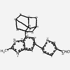 Cc1nc2cc(-c3ccc(C=O)cn3)cc(C34CC5CC(CC(C5)C3)C4)c2o1